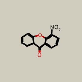 O=C1c2cccc([N+](=O)[O-])c2OC2=CC=CCC12